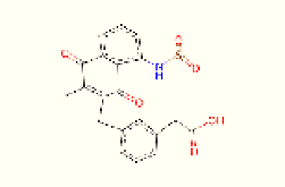 CC1=C(Cc2cccc(CC(=O)O)c2)C(=O)c2c(N[SH](=O)=O)cccc2C1=O